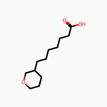 O=C(O)CCCCCCC1CCCOC1